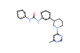 Cc1cc(N2CCCC(c3cccc(NC(=O)Nc4ccccc4)c3)C2)ncn1